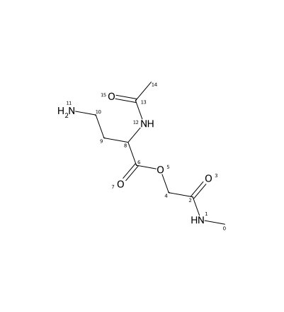 CNC(=O)COC(=O)C(CCN)NC(C)=O